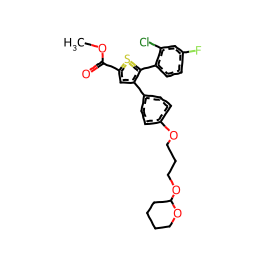 COC(=O)c1cc(-c2ccc(OCCCOC3CCCCO3)cc2)c(-c2ccc(F)cc2Cl)s1